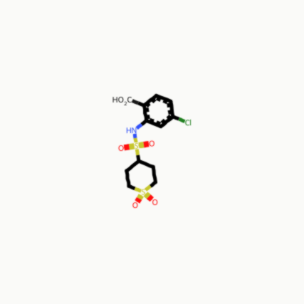 O=C(O)c1ccc(Cl)cc1NS(=O)(=O)C1CCS(=O)(=O)CC1